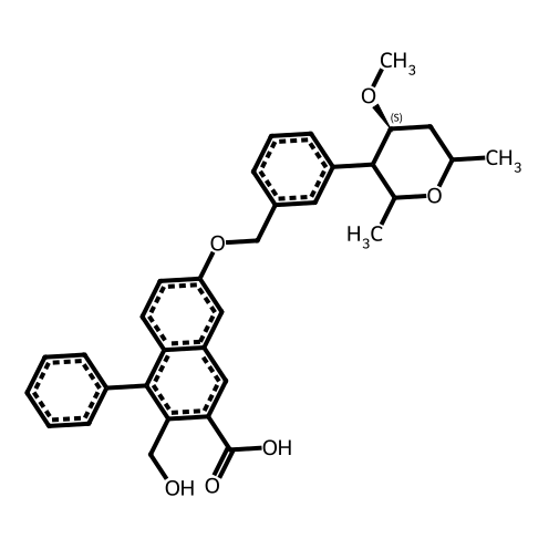 CO[C@H]1CC(C)OC(C)C1c1cccc(COc2ccc3c(-c4ccccc4)c(CO)c(C(=O)O)cc3c2)c1